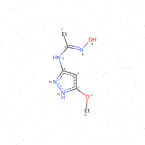 CCOc1cc(NC(CC)=NO)n[nH]1